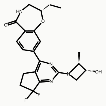 CC[C@H]1CNC(=O)c2ccc(-c3nc(N4C[C@@H](O)[C@@H]4C)nc4c3CCC4(F)F)cc2O1